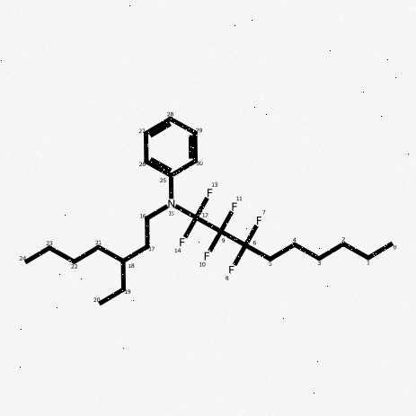 CCCCCCC(F)(F)C(F)(F)C(F)(F)N(CCC(CC)CCCC)c1ccccc1